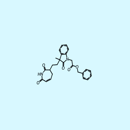 CC1(CCC2CC=CC(=O)NC2=O)C(=O)N(CC(=O)OCc2ccccc2)c2ccccc21